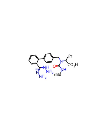 CCCCNC(=O)N(Cc1ccc(-c2ccccc2/C(=N/N)NN)cc1)C(C(=O)O)C(C)C